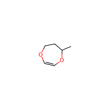 CC1CCOC=CO1